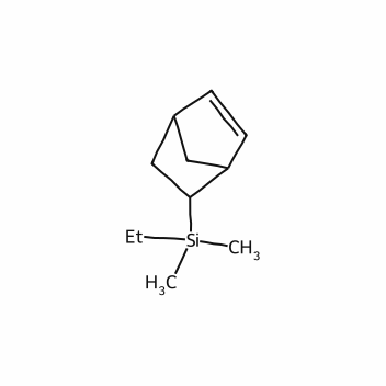 CC[Si](C)(C)C1CC2C=CC1C2